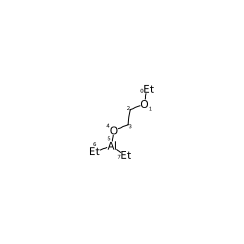 CCOCC[O][Al]([CH2]C)[CH2]C